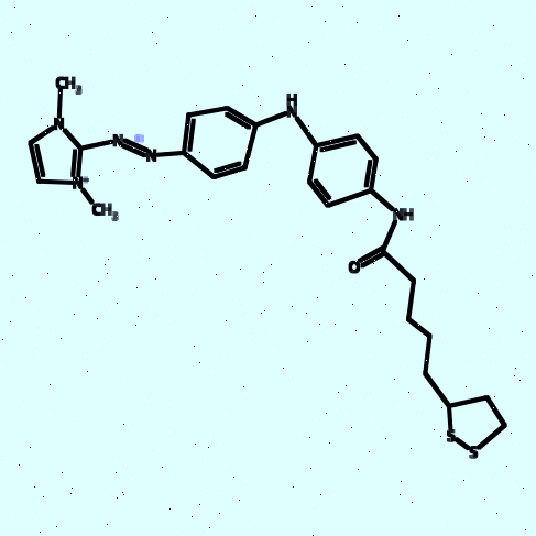 Cn1cc[n+](C)c1/N=N/c1ccc(Nc2ccc(NC(=O)CCCCC3CCSS3)cc2)cc1